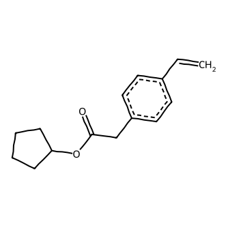 C=Cc1ccc(CC(=O)OC2CCCC2)cc1